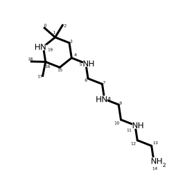 CC1(C)CC(NCCNCCNCCN)CC(C)(C)N1